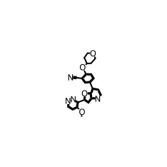 COc1ccnnc1-c1cc2nccc(-c3ccc(OC4CCOCC4)c(C#N)c3)c2o1